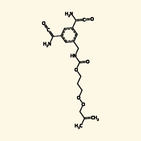 C=C(C)COOCCCOC(=O)NCc1cc(C(N)=C=O)cc(C(N)=C=O)c1